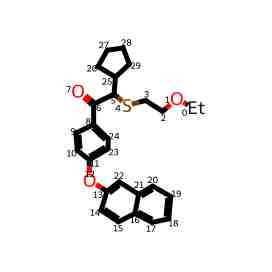 CCOCCSC(C(=O)c1ccc(Oc2ccc3ccccc3c2)cc1)C1CCCC1